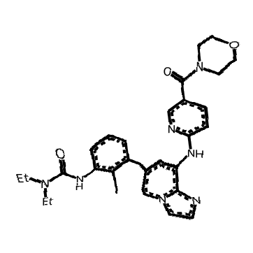 CCN(CC)C(=O)Nc1cccc(-c2cc(Nc3ccc(C(=O)N4CCOCC4)cn3)c3nccn3c2)c1C